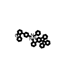 c1ccc(-c2nc(-c3ccc(-c4cccc5oc6ccccc6c45)cc3)nc(-c3ccccc3-c3ccc4c(c3)C(c3ccccc3)(c3ccccc3)c3ccccc3-4)n2)cc1